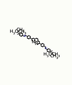 CC(C)(C)Sc1ccc(/C=C/c2ccc(-c3cnc4c(ccc5cc(-c6ccc(/C=C/c7ccc(SC(C)(C)C)cc7)cc6)cnc54)c3)cc2)cc1